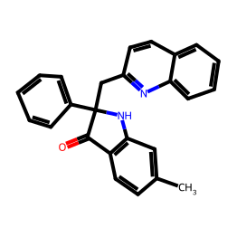 Cc1ccc2c(c1)NC(Cc1ccc3ccccc3n1)(c1ccccc1)C2=O